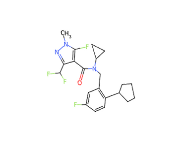 Cn1nc(C(F)F)c(C(=O)N(Cc2cc(F)ccc2C2CCCC2)C2CC2)c1F